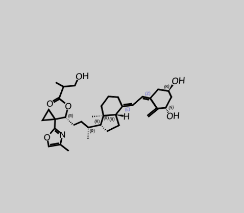 C=C1/C(=C\C=C2/CCC[C@]3(C)[C@@H]([C@H](C)CC[C@@H](OC(=O)C(C)CO)C4(c5nc(C)co5)CC4)CC[C@@H]23)C[C@@H](O)C[C@@H]1O